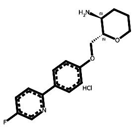 Cl.N[C@H]1CCCO[C@@H]1COc1ccc(-c2ccc(F)cn2)cc1